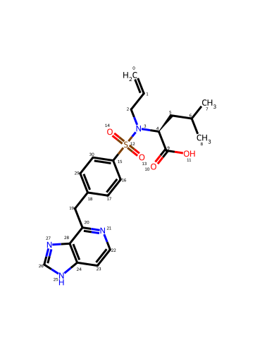 C=CCN([C@@H](CC(C)C)C(=O)O)S(=O)(=O)c1ccc(Cc2nccc3[nH]cnc23)cc1